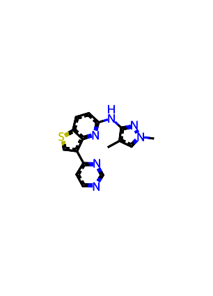 Cc1cn(C)nc1Nc1ccc2scc(-c3ccncn3)c2n1